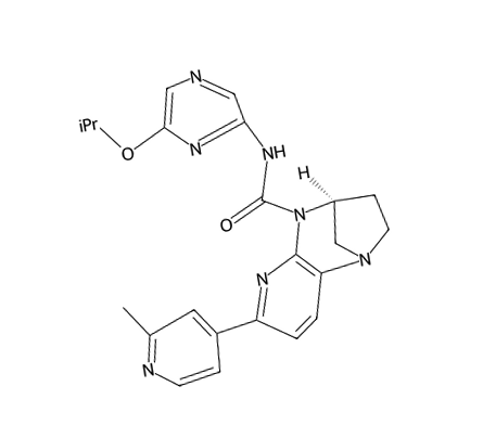 Cc1cc(-c2ccc3c(n2)N(C(=O)Nc2cncc(OC(C)C)n2)[C@H]2CCN3C2)ccn1